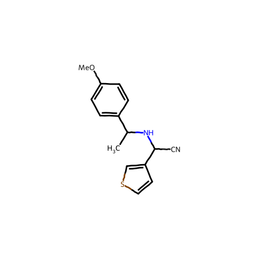 COc1ccc(C(C)NC(C#N)c2ccsc2)cc1